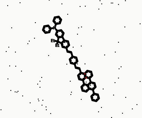 CCC1(CC)c2cc(/C=C/c3ccc(/C=C/c4ccc(-c5cccc6c(-c7ccccc7)ccc(-c7ccccc7)c56)cc4)cc3)ccc2-c2ccc(N(c3ccccc3)c3ccccc3)cc21